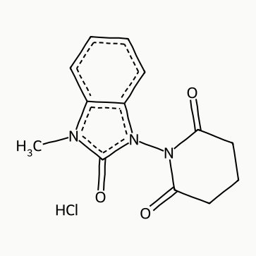 Cl.Cn1c(=O)n(N2C(=O)CCCC2=O)c2ccccc21